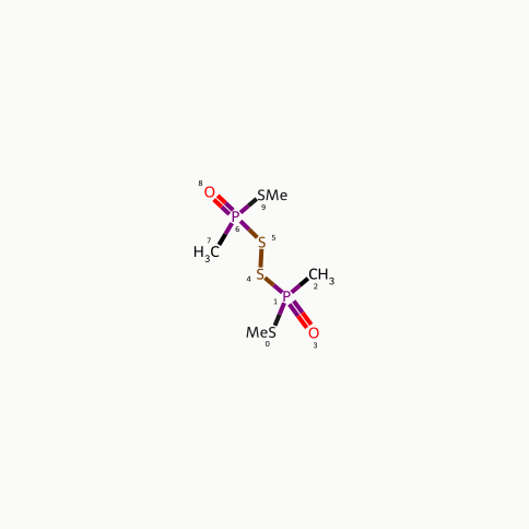 CSP(C)(=O)SSP(C)(=O)SC